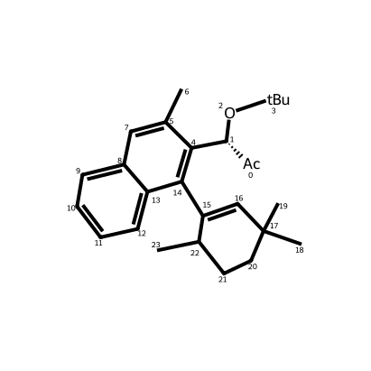 CC(=O)[C@@H](OC(C)(C)C)c1c(C)cc2ccccc2c1C1=CC(C)(C)CCC1C